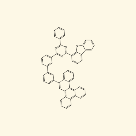 c1ccc(-c2nc(-c3cccc(-c4cccc(-c5cc6c7ccccc7c7ccccc7c6c6ccccc56)c4)c3)nc(-c3cccc4c3sc3ccccc34)n2)cc1